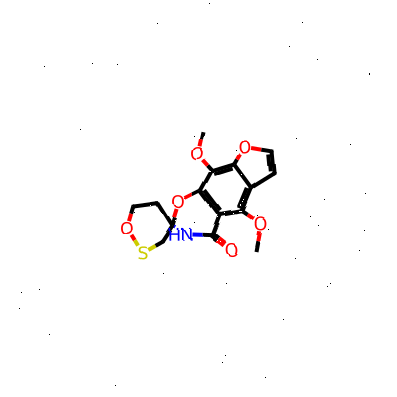 COc1c2c(c(OC)c3occc13)OC1(CCOSC1)NC2=O